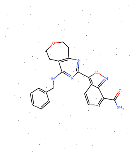 NC(=O)c1cccc2c(-c3nc4c(c(NCc5ccccc5)n3)CCOCC4)onc12